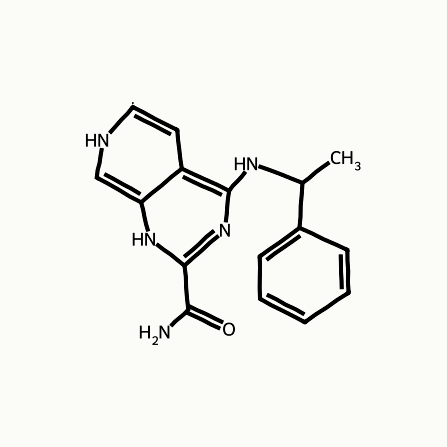 CC(NC1=C2C=[C]NC=C2NC(C(N)=O)=N1)c1ccccc1